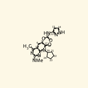 CNc1nc(C)c2cc(OC(=O)Nc3cc[nH]n3)c(=O)n(C3CCCC3)c2n1